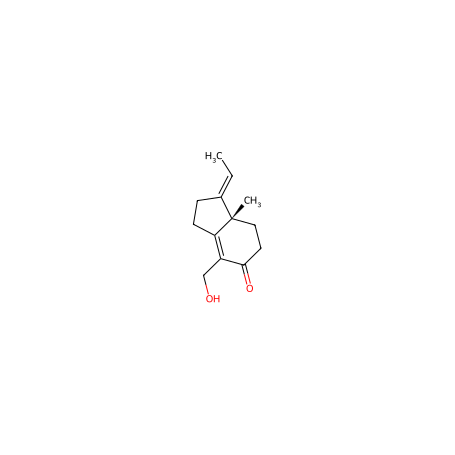 C/C=C1\CCC2=C(CO)C(=O)CC[C@]21C